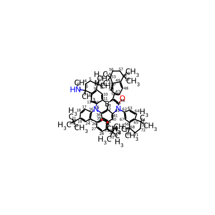 CNC1(C)CCC(C)(C)c2cc3c(cc21)N(c1ccc(C(C)(C)C)cc1-c1ccc(C(C)(C)C)cc1)c1cc(C)cc2c1B3c1c(oc3cc4c(cc13)C(C)(C)CCC4(C)C)N2c1ccc2c(c1)C(C)(C)CCC2(C)C